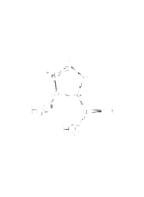 CC(=O)C1CC=NN1C